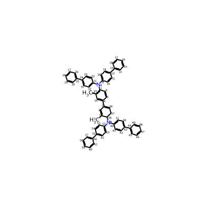 CC1=CC(c2ccc(N(c3ccc(-c4ccccc4)cc3)c3ccc(-c4ccccc4)cc3)c(C)c2)=CCC1N(c1ccc(-c2ccccc2)cc1)c1ccc(-c2ccccc2)cc1